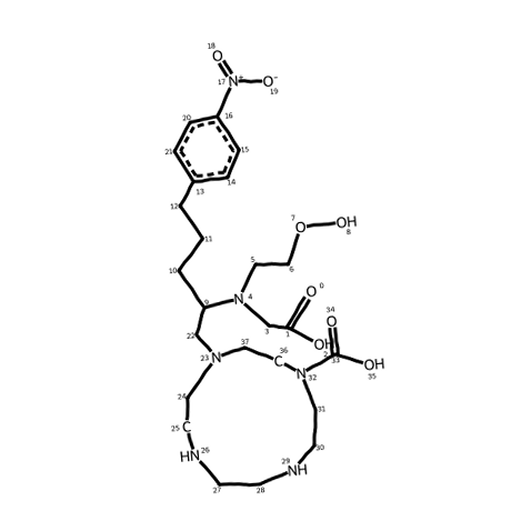 O=C(O)CN(CCOO)C(CCCc1ccc([N+](=O)[O-])cc1)CN1CCNCCNCCN(C(=O)O)CC1